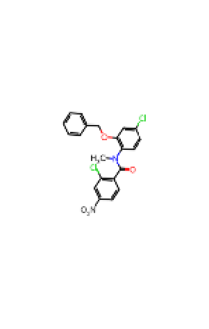 CN(C(=O)c1ccc([N+](=O)[O-])cc1Cl)c1ccc(Cl)cc1OCc1ccccc1